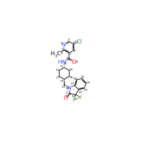 Cc1ncc(Cl)cc1C(=O)N[C@H]1CC[C@H](CN2C(=O)C(F)(F)c3ccccc32)CC1